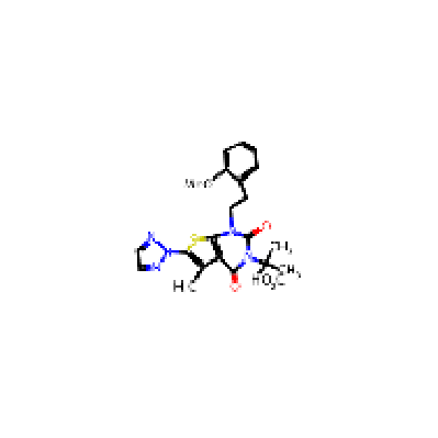 COc1ccccc1CCn1c(=O)n(C(C)(C)C(=O)O)c(=O)c2c(C)c(-n3nccn3)sc21